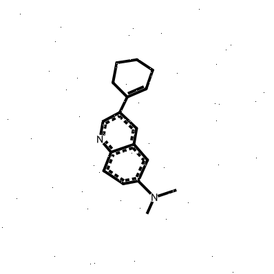 CN(C)c1ccc2ncc(C3=CCCCC3)cc2c1